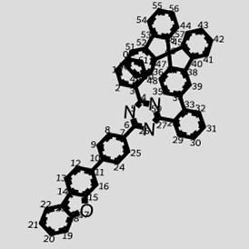 c1ccc(-c2nc(-c3ccc(-c4ccc5c(c4)oc4ccccc45)cc3)nc(-c3ccccc3-c3ccc4c(c3)-c3ccccc3C43c4ccccc4-c4ccccc43)n2)cc1